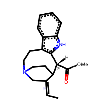 C/C=C1/CN2CCc3c([nH]c4ccccc34)[C@H](C(=O)OC)C1CC2